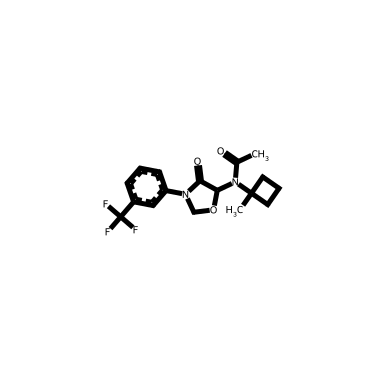 CC(=O)N(C1OCN(c2cccc(C(F)(F)F)c2)C1=O)C1(C)CCC1